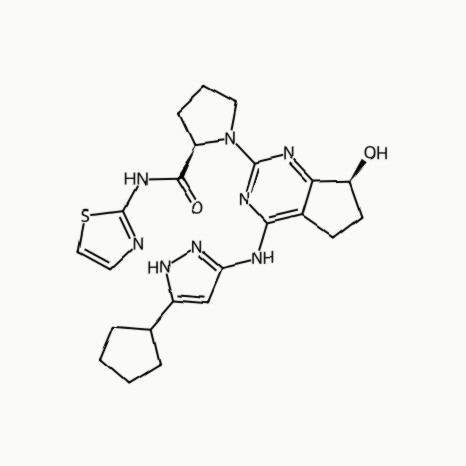 O=C(Nc1nccs1)[C@H]1CCCN1c1nc(Nc2cc(C3CCCC3)[nH]n2)c2c(n1)[C@@H](O)CC2